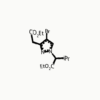 CCOC(=O)Cc1nn(C(C(=O)OCC)C(C)C)cc1Br